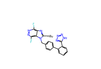 CCCCc1nc2c(F)nnc(F)c2n1Cc1ccc(-c2ccccc2-c2nnn[nH]2)cc1